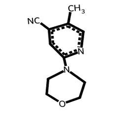 Cc1cnc(N2CCOCC2)cc1C#N